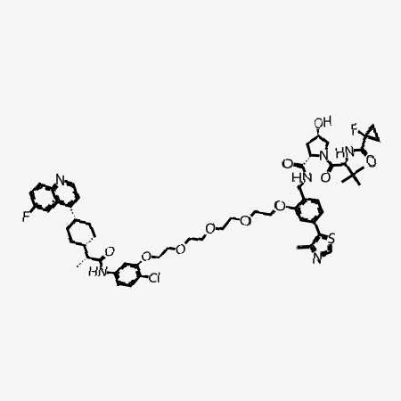 Cc1ncsc1-c1ccc(CNC(=O)[C@@H]2C[C@@H](O)CN2C(=O)[C@@H](NC(=O)C2(F)CC2)C(C)(C)C)c(OCCOCCOCCOCCOc2cc(NC(=O)[C@H](C)[C@H]3CC[C@@H](c4ccnc5ccc(F)cc54)CC3)ccc2Cl)c1